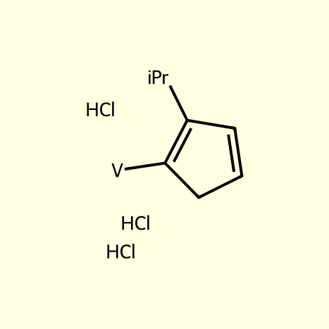 CC(C)C1=[C]([V])CC=C1.Cl.Cl.Cl